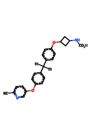 CCC(CC)(c1ccc(Oc2ccc(C#N)nc2)cc1)c1ccc(OC2CC(NC(=O)O)C2)cc1